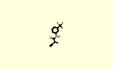 C#CC(I)C(=O)Nc1cccc(C(F)(F)F)c1